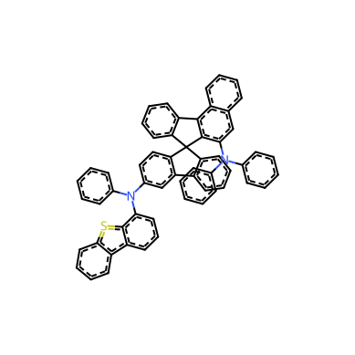 c1ccc(N(c2ccccc2)c2cc3ccccc3c3c2C2(c4ccccc4-c4cc(N(c5ccccc5)c5cccc6c5sc5ccccc56)ccc42)c2ccccc2-3)cc1